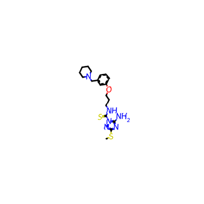 CSc1nc(N)n(C(=S)NCCCOc2cccc(CN3CCCCC3)c2)n1